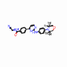 [2H]C1([2H])COCC([2H])([2H])N1c1ccc(Nc2nccc(-c3ccc(C(=O)NCC#N)cc3)n2)cc1